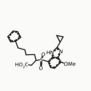 COc1ccc(S(=O)(=O)C(CCCCc2ccccc2)CC(=O)O)c2[nH]c(C3CC3)nc12